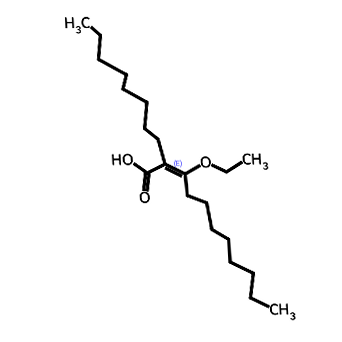 CCCCCCCC/C(OCC)=C(/CCCCCCCC)C(=O)O